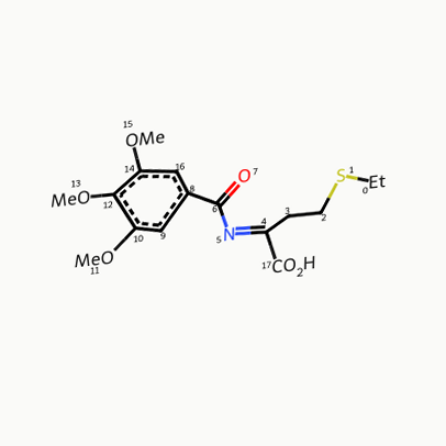 CCSCCC(=NC(=O)c1cc(OC)c(OC)c(OC)c1)C(=O)O